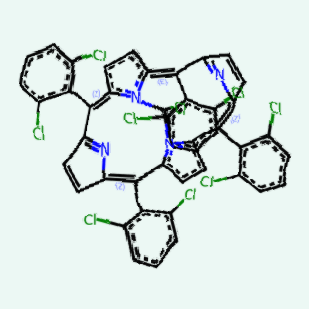 Clc1cccc(Cl)c1/C1=C2\C=CC(=N2)/C(c2c(Cl)cccc2Cl)=c2/cc/c3n2C(Cl)n2c1ccc2/C(c1c(Cl)cccc1Cl)=C1/C=CC(=N1)/C=3c1c(Cl)cccc1Cl